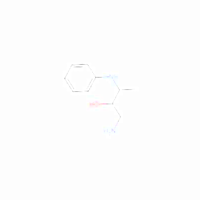 CC(Nc1ccccc1)C(O)CN